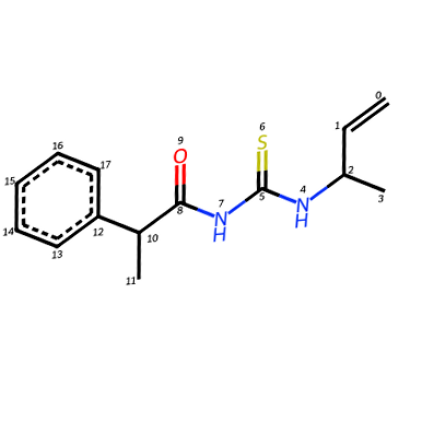 C=CC(C)NC(=S)NC(=O)C(C)c1ccccc1